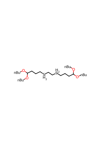 CCCCOC(CCC[SiH2]CC[SiH2]CCCC(OCCCC)OCCCC)OCCCC